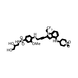 COc1cc(S(=O)(=O)NCC(O)CO)ccc1NCC#Cc1cc2c(NC3CCS(=O)(=O)CC3)cccc2n1CC(F)(F)F